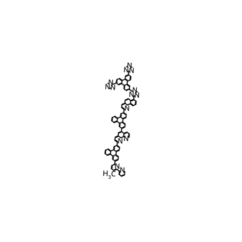 Cc1ccc(-c2ccc3c4ccc(-c5ccc6cc(-c7ccc8c9ccc(-c%10ccc%11ccc%12c(-c%13ncnc(-c%14ccc%15c%16cc(-c%17ncncn%17)ccc%16c%16cc(-c%17ncncn%17)ccc%16c%15c%14)n%13)cccc%12c%11n%10)cc9c9ccccc9c8c7)c7cccnc7c6n5)cc4c4ccccc4c3c2)nc1-c1ccccn1